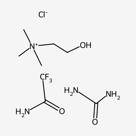 C[N+](C)(C)CCO.NC(=O)C(F)(F)F.NC(N)=O.[Cl-]